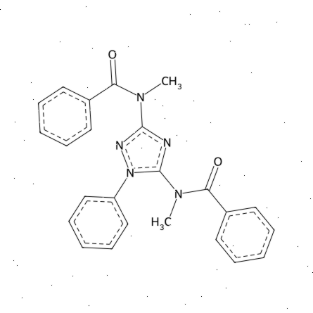 CN(C(=O)c1ccccc1)c1nc(N(C)C(=O)c2ccccc2)n(-c2ccccc2)n1